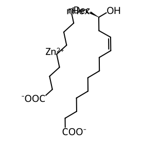 CCCCCCCCCCCCCCCCCC(=O)[O-].CCCCCC[C@@H](O)C/C=C\CCCCCCCC(=O)[O-].[Zn+2]